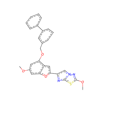 COc1cc(OCc2cccc(-c3ccccc3)c2)c2cc(-c3cn4nc(OC)sc4n3)oc2c1